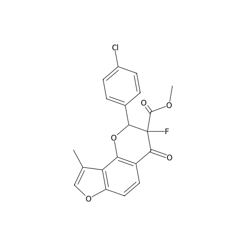 COC(=O)C1(F)C(=O)c2ccc3occ(C)c3c2OC1c1ccc(Cl)cc1